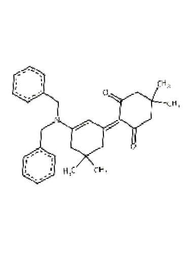 CC1(C)CC(=O)C(=C2C=C(N(Cc3ccccc3)Cc3ccccc3)CC(C)(C)C2)C(=O)C1